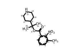 Cc1cccc(C(=O)OC(C)(C)C2CCNCC2)c1[N+](=O)[O-]